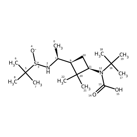 C[C@H](N[S+]([O-])C(C)(C)C)[C@H]1C[C@@H](N(C(=O)O)C(C)(C)C)C1(C)C